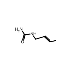 CC=CCNC(N)=O